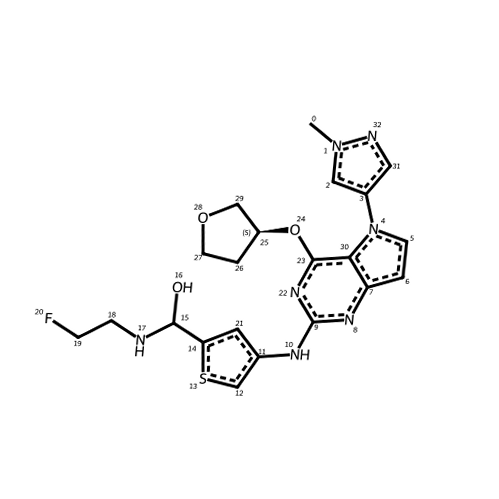 Cn1cc(-n2ccc3nc(Nc4csc(C(O)NCCF)c4)nc(O[C@H]4CCOC4)c32)cn1